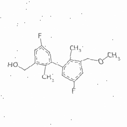 COCc1cc(F)cc(-c2cc(F)cc(CO)c2C)c1C